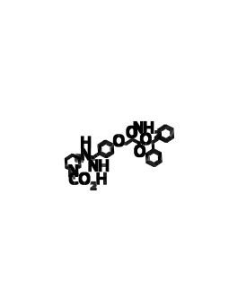 N=C(N[C@@H]1CCCN(C(=O)O)C1)c1ccc(OCC(ON)C(=O)OC(c2ccccc2)c2ccccc2)cc1